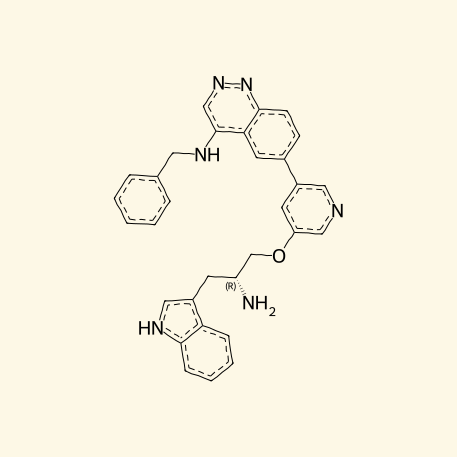 N[C@@H](COc1cncc(-c2ccc3nncc(NCc4ccccc4)c3c2)c1)Cc1c[nH]c2ccccc12